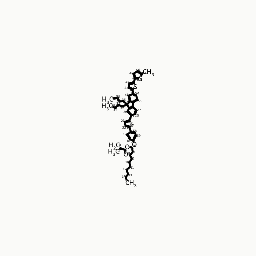 C=C(C)C(=O)OC(CCCCCCCCC)Oc1ccc(-c2ccc(-c3ccc4c(c3)C(CCCC)(CCCC)c3cc(-c5ccc(-c6ccc(C)s6)s5)ccc3-4)s2)cc1